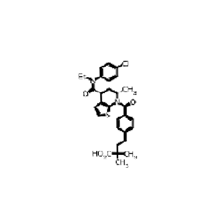 CCN(C(=O)[C@H]1C[C@H](C)N(C(=O)c2ccc(CCC(C)(C)C(=O)O)cc2)c2sccc21)c1ccc(Cl)cc1